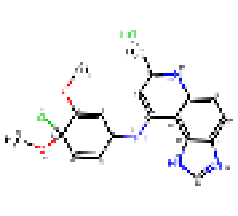 COC1=CC(Nc2cc(C)nc3ccc4nc[nH]c4c23)C=CC1(Cl)OC.Cl